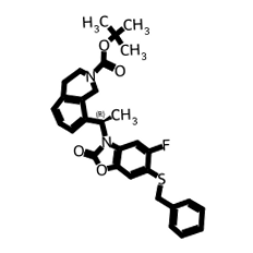 C[C@H](c1cccc2c1CN(C(=O)OC(C)(C)C)CC2)n1c(=O)oc2cc(SCc3ccccc3)c(F)cc21